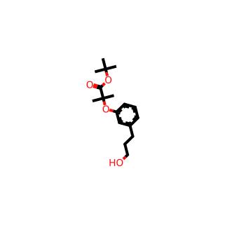 CC(C)(C)OC(=O)C(C)(C)Oc1cccc(CCCO)c1